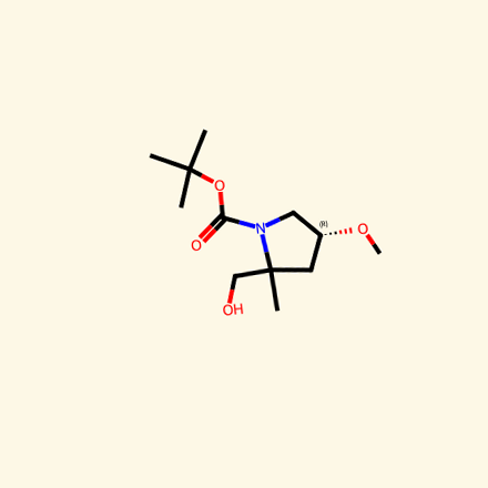 CO[C@H]1CN(C(=O)OC(C)(C)C)C(C)(CO)C1